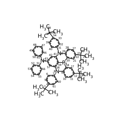 CC(C)(C)c1ccc(N2c3ccc(C(C)(C)C)cc3P3c4cc(C(C)(C)C)ccc4N(c4ccc(C(C)(C)C)cc4)c4cc(N(c5ccccc5)c5ccccc5)cc2c43)cc1